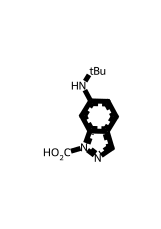 CC(C)(C)Nc1ccc2cnn(C(=O)O)c2c1